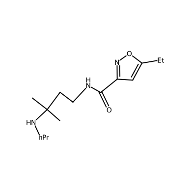 CCCNC(C)(C)CCNC(=O)c1cc(CC)on1